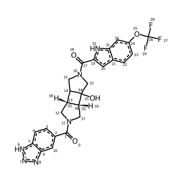 O=C(c1ccc2[nH]nnc2c1)N1C[C@@H]2C3CN(C(=O)c4cc5ccc(OC(F)(F)F)cc5[nH]4)CC3(O)[C@@H]2C1